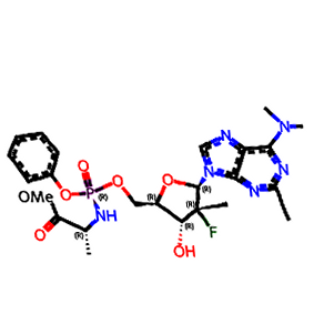 COC(=O)[C@@H](C)N[P@@](=O)(OC[C@H]1O[C@@H](n2cnc3c(N(C)C)nc(C)nc32)[C@](C)(F)[C@@H]1O)Oc1ccccc1